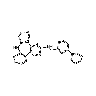 c1ccc(-c2cccc(CNc3ncc4c(n3)-c3cccnc3Nc3cnccc3-4)c2)cc1